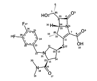 C[C@@H](O)[C@H]1C(=O)N2C(C(=O)O)=C(S[C@H]3C[C@@H](C(=O)N(C)C)N(Cc4ccc(F)c(F)c4)C3)[C@H](C)[C@H]12